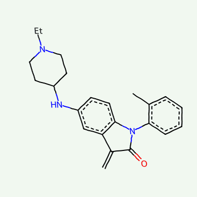 C=C1C(=O)N(c2ccccc2C)c2ccc(NC3CCN(CC)CC3)cc21